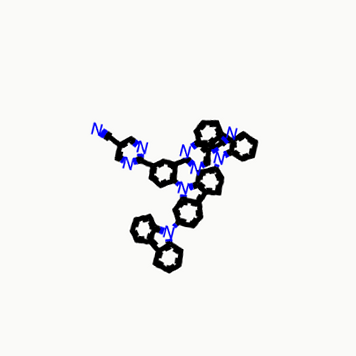 N#Cc1cnc(-c2ccc(-n3c4cc(-n5c6ccccc6c6ccccc65)ccc4c4ccc(-n5c6ccccc6c6ccccc65)cc43)c(-c3ncc(C#N)cn3)c2)nc1